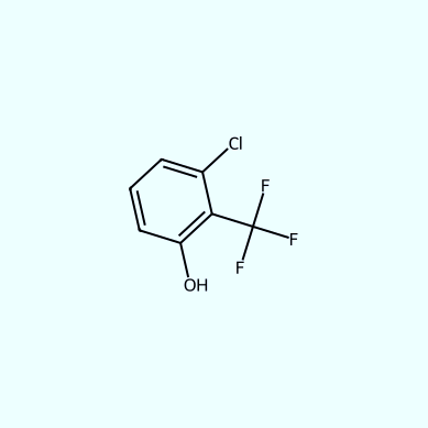 Oc1cccc(Cl)c1C(F)(F)F